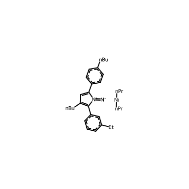 CCCCC1=C(c2cccc(CC)c2)[N+](=[N-])C(c2ccc(CCCC)cc2)=C1.CC[CH2][Ni][CH2]CC